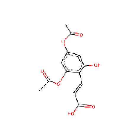 CC(=O)Oc1cc(O)c(/C=C/C(=O)O)c(OC(C)=O)c1